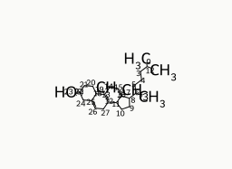 CC(C)CCCC(C)C1CCC2C3=C(CCC21C)C1(C)CC[C@H](O)CC1=CC3